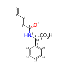 C=CCCC(=O)N[C@H](C(=O)O)c1ccccc1